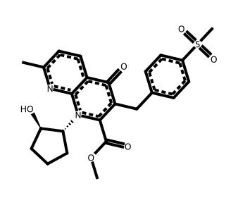 COC(=O)c1c(Cc2ccc(S(C)(=O)=O)cc2)c(=O)c2ccc(C)nc2n1[C@@H]1CCC[C@H]1O